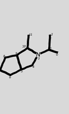 CC(C)N1CC2CCCC2C1C